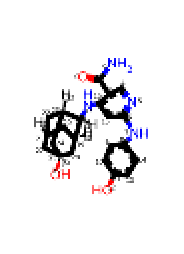 NC(=O)c1cnc(Nc2ccc(O)cc2)cc1N[C@H]1[C@@H]2C[C@H]3C[C@H]1C[C@@](O)(C3)C2